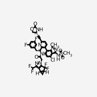 Cn1nc(NS(C)(=O)=O)c2c(Cl)ccc(-c3ccc(C#C[C@@H]4COC(=O)N4)nc3[C@H](Cc3cc(F)cc(F)c3)NC(=O)Cn3nc(C(F)F)c4c3C(F)(F)[C@@H]3C[C@H]43)c21